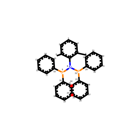 Cc1cccc(C)c1N(P(c1ccccc1)c1ccccc1)P(c1ccccc1)c1ccccc1